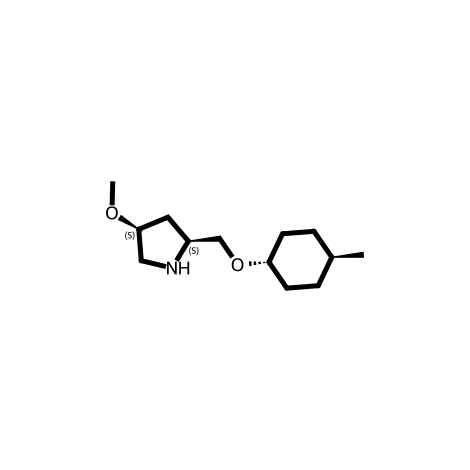 CO[C@@H]1CN[C@H](CO[C@H]2CC[C@H](C)CC2)C1